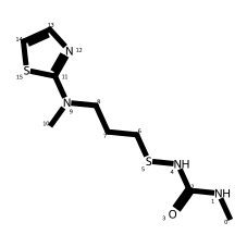 CNC(=O)NSCCCN(C)c1nccs1